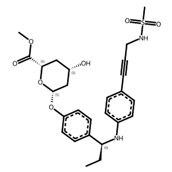 CC[C@H](Nc1ccc(C#CCNS(C)(=O)=O)cc1)c1ccc(O[C@H]2C[C@@H](O)C[C@@H](C(=O)OC)O2)cc1